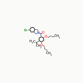 C=C(C)c1cc(C(=O)N2Cc3ccc(Br)cc3C2)c(OCCCC)cc1OCCCC